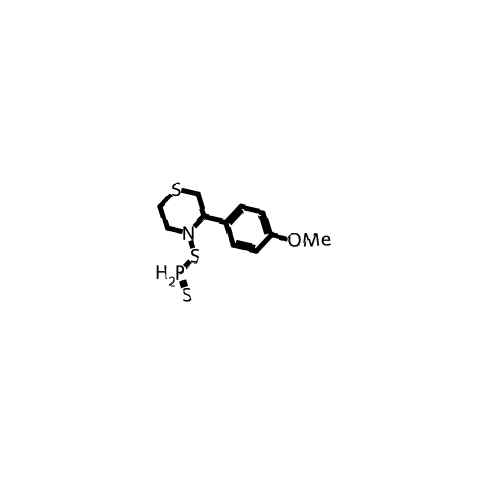 COc1ccc(C2CSCCN2S[PH2]=S)cc1